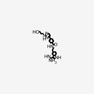 N=C(N)c1c[nH]c2ccc(CCNC(=O)c3ccc(-c4ccnc(NCCCO)n4)cc3)cc12